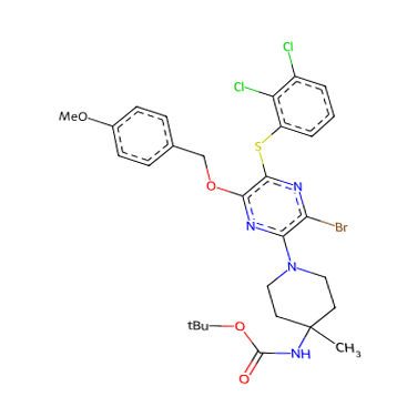 COc1ccc(COc2nc(N3CCC(C)(NC(=O)OC(C)(C)C)CC3)c(Br)nc2Sc2cccc(Cl)c2Cl)cc1